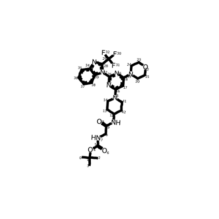 CC(C)(C)OC(=O)NCC(=O)NC1CCN(c2cc(N3CCOCC3)nc(-n3c(C(F)(F)F)nc4ccccc43)n2)CC1